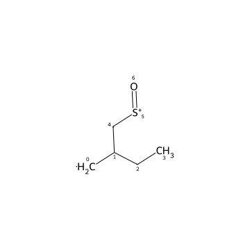 [CH2]C(CC)C[S+]=O